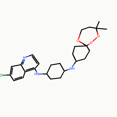 CC1(C)CCOC2(CCC(NC3CCC(Nc4ccnc5cc(Cl)ccc45)CC3)CC2)OO1